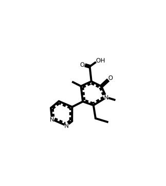 CCc1c(-c2ccnnc2)c(C)c(C(=O)O)c(=O)n1C